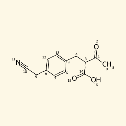 CC(=O)C(Cc1ccc(CC#N)cc1)C(=O)O